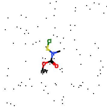 CCCOC(=O)N(C)SCl